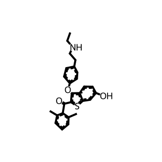 CCNCCc1ccc(Oc2c(C(=O)c3c(C)cccc3C)sc3cc(O)ccc23)cc1